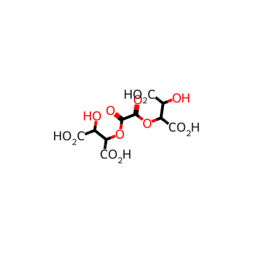 O=C(OC(C(=O)O)C(O)C(=O)O)C(=O)OC(C(=O)O)C(O)C(=O)O